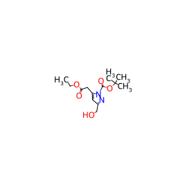 CCOC(=O)Cc1cc(CO)nn1C(=O)OC(C)(C)C